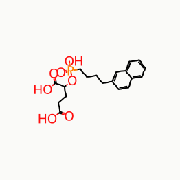 O=C(O)CCC(OP(=O)(O)CCCCc1ccc2ccccc2c1)C(=O)O